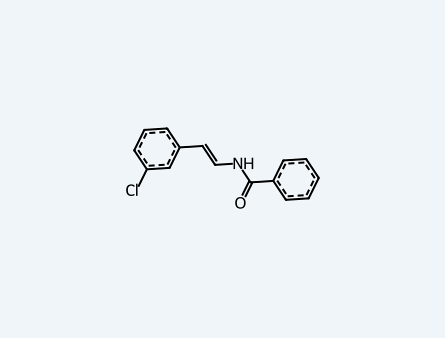 O=C(NC=Cc1cccc(Cl)c1)c1ccccc1